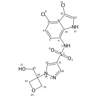 O=S(=O)(Nc1ccc(Cl)c2c(Cl)c[nH]c12)c1cnn(C2(CO)COC2)c1